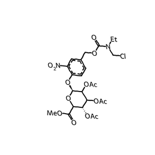 CCN(CCl)C(=O)OCc1ccc(O[C@@H]2OC(C(=O)OC)[C@@H](OC(C)=O)C(OC(C)=O)C2OC(C)=O)c([N+](=O)[O-])c1